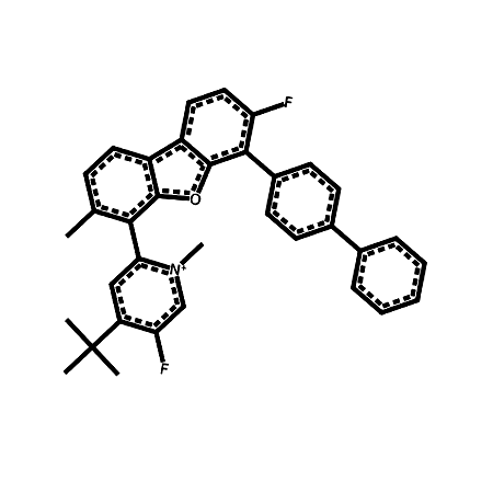 Cc1ccc2c(oc3c(-c4ccc(-c5ccccc5)cc4)c(F)ccc32)c1-c1cc(C(C)(C)C)c(F)c[n+]1C